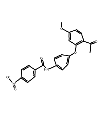 COc1ccc(C(C)=O)c(Oc2ccc(NC(=O)c3ccc([N+](=O)[O-])cc3)cc2)c1